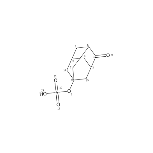 O=C1C2CC3CC1CC(OS(=O)(=O)O)(C3)C2